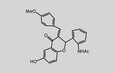 COc1ccc(C=C2C(=O)c3cc(O)ccc3OC2c2ccccc2NC(C)=O)cc1